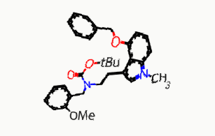 COc1ccccc1CN(CCc1cn(C)c2cccc(OCc3ccccc3)c12)C(=O)OC(C)(C)C